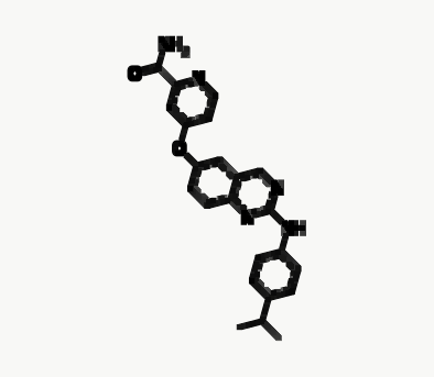 CC(C)c1ccc(Nc2ncc3cc(Oc4ccnc(C(N)=O)c4)ccc3n2)cc1